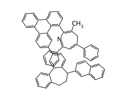 CC1=C(c2cccc3c4ccccc4c4ccc(-c5ccc6c(c5)-c5ccccc5CCC6c5ccc6ccccc6c5)cc4c23)N=C(c2ccccc2)C=C(c2ccccc2)C1